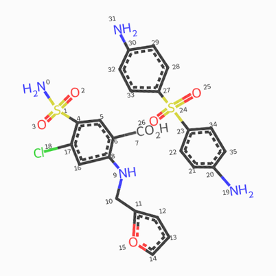 NS(=O)(=O)c1cc(C(=O)O)c(NCc2ccco2)cc1Cl.Nc1ccc(S(=O)(=O)c2ccc(N)cc2)cc1